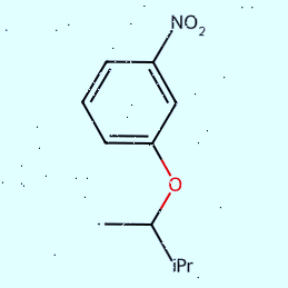 [CH2]C(Oc1cccc([N+](=O)[O-])c1)C(C)C